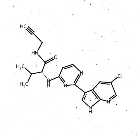 C#CCNC(=O)[C@H](Nc1ccnc(-c2c[nH]c3ncc(Cl)cc23)n1)C(C)C